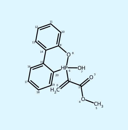 C=C(C(=O)OC)[PH]1(O)Oc2ccccc2-c2ccccc21